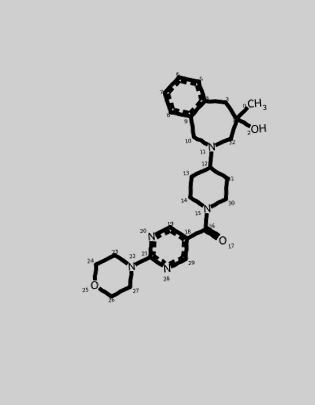 CC1(O)Cc2ccccc2CN(C2CCN(C(=O)c3cnc(N4CCOCC4)nc3)CC2)C1